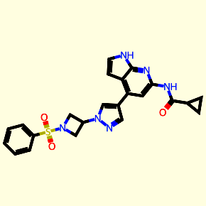 O=C(Nc1cc(-c2cnn(C3CN(S(=O)(=O)c4ccccc4)C3)c2)c2cc[nH]c2n1)C1CC1